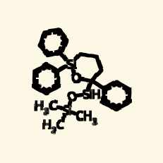 C[Si](C)(C)O[SiH2]C1(c2ccccc2)CCC[Si](c2ccccc2)(c2ccccc2)O1